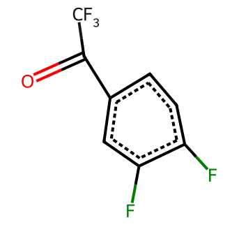 O=C(c1ccc(F)c(F)c1)C(F)(F)F